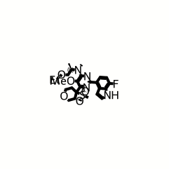 CCOC[C@@H](C)N(C)c1nc(-c2ccc(F)c3[nH]ccc23)nc(C2(S(C)(=O)=O)CCOCC2)c1OC